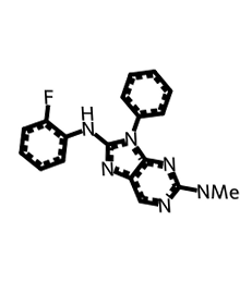 CNc1ncc2nc(Nc3ccccc3F)n(-c3ccccc3)c2n1